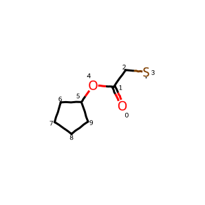 O=C(C[S])OC1CCCC1